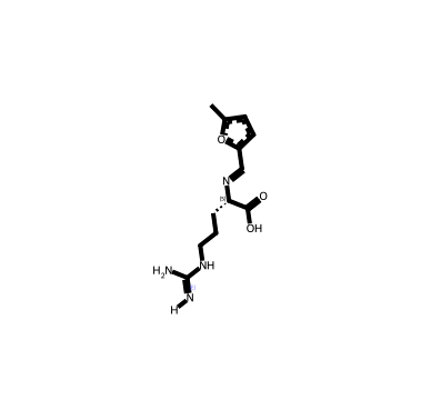 [H]/N=C(\N)NCCC[C@H](N=Cc1ccc(C)o1)C(=O)O